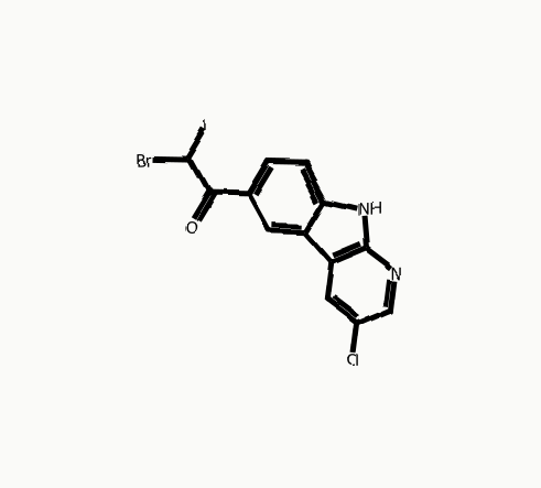 O=C(c1ccc2[nH]c3ncc(Cl)cc3c2c1)C(Br)I